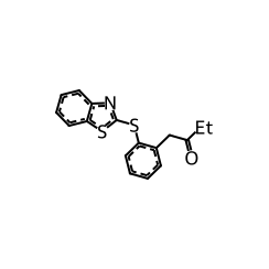 CCC(=O)Cc1ccccc1Sc1nc2ccccc2s1